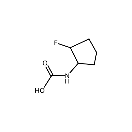 O=C(O)NC1CCCC1F